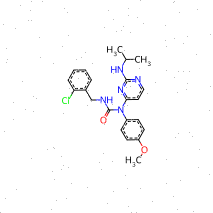 COc1ccc(N(C(=O)NCc2ccccc2Cl)c2ccnc(NC(C)C)n2)cc1